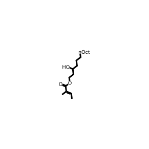 CC=C(C)C(=O)OCCC(O)CCCCCCCCCCC